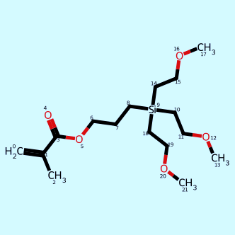 C=C(C)C(=O)OCCC[Si](CCOC)(CCOC)CCOC